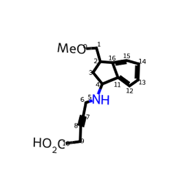 COCC1CC(NCC#CCC(=O)O)c2ccccc21